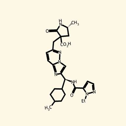 CCn1nccc1C(=O)N[C@H](c1cn2nc(CC3(C(=O)O)C[C@@H](C)NC3=O)ccc2n1)C1CCC(C)CC1